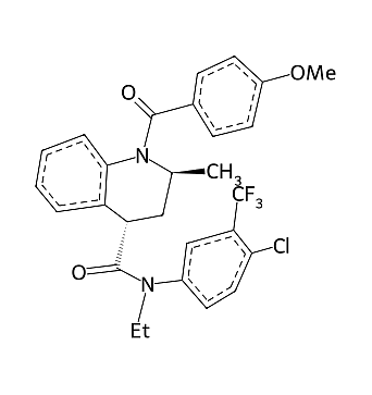 CCN(C(=O)[C@H]1C[C@H](C)N(C(=O)c2ccc(OC)cc2)c2ccccc21)c1ccc(Cl)c(C(F)(F)F)c1